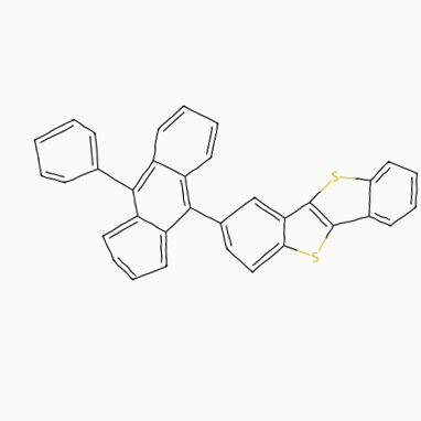 c1ccc(-c2c3ccccc3c(-c3ccc4sc5c6ccccc6sc5c4c3)c3ccccc23)cc1